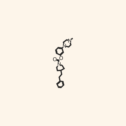 CN1CCN(c2cccc(OC(=O)N3CCC(CCc4ccccc4)CC3)c2)CC1